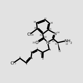 C=C(/C=C\C=C/CCl)Cn1c([C@H](C)N)nc2cccc(Cl)c2c1=O